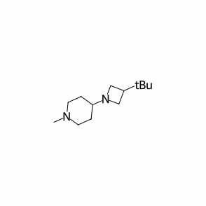 CN1CCC(N2CC(C(C)(C)C)C2)CC1